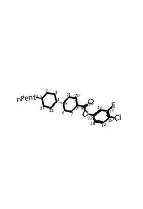 CCCCC[C@H]1CC[C@H](C2CCC(C(=O)Oc3ccc(Cl)c(F)c3)CC2)CC1